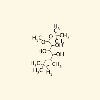 COC(OC(C)(C)C)C(O)C(O)C(O)C(C)CC(C)(C)C